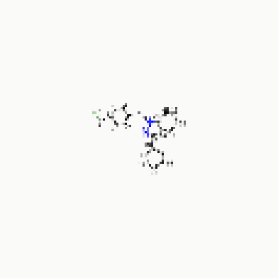 FCc1ccc(Cn2nc(-c3ccccc3)c3ccccc32)cc1